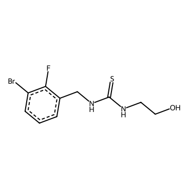 OCCNC(=S)NCc1cccc(Br)c1F